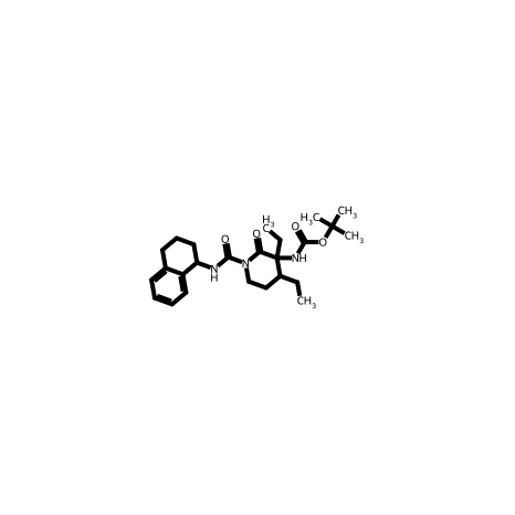 CCC1CCN(C(=O)NC2CCCc3ccccc32)C(=O)C1(CC)NC(=O)OC(C)(C)C